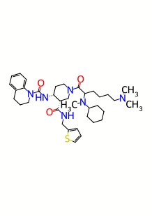 CN(C)CCCCC(C(=O)N1CC[C@@H](NC(=O)N2CCCc3ccccc32)[C@@H](C(=O)NCc2cccs2)C1)N(C)C1CCCCC1